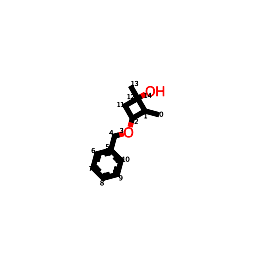 CC1C(OCc2ccccc2)CC1(C)O